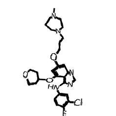 CN1CCCN(CCCOc2cc(OC3CCOCC3)c3c(Nc4ccc(F)c(Cl)c4)ncnc3c2)CC1